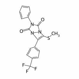 CSc1c(-c2ccc(C(F)(F)F)cc2)n2c(=O)n(-c3ccccc3)c(=O)n12